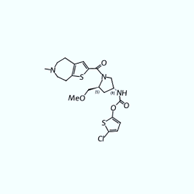 COC[C@@H]1C[C@@H](NC(=O)Oc2ccc(Cl)s2)CN1C(=O)c1cc2c(s1)CCN(C)CC2